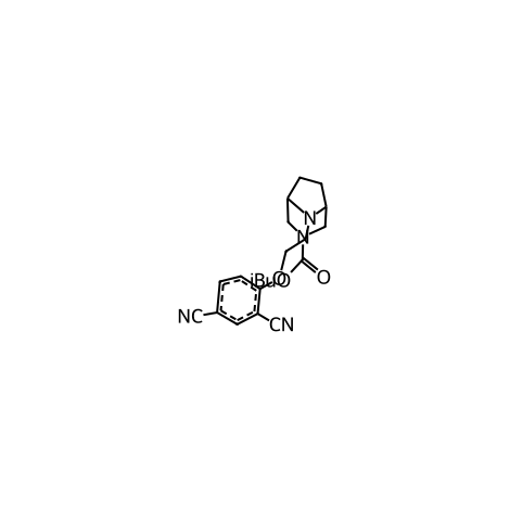 CC(C)COC(=O)N1CC2CCC(C1)N2CCOc1ccc(C#N)cc1C#N